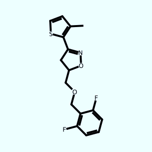 Cc1ccsc1C1=NOC(COCc2c(F)cccc2F)C1